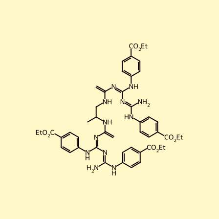 C=C(/N=C(\N=C(/N)Nc1ccc(C(=O)OCC)cc1)Nc1ccc(C(=O)OCC)cc1)NCC(C)NC(=C)/N=C(\N=C(/N)Nc1ccc(C(=O)OCC)cc1)Nc1ccc(C(=O)OCC)cc1